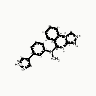 CN(c1cccc(-c2cn[nH]c2)c1)c1nc2nncn2c2ccccc12